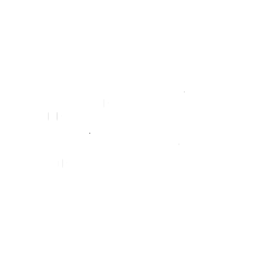 BC(B)(CC1CC2CCC1C2)C(C)(C)C